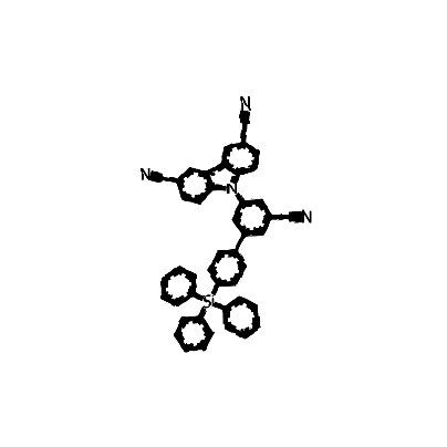 N#Cc1cc(-c2ccc([Si](c3ccccc3)(c3ccccc3)c3ccccc3)cc2)cc(-n2c3ccc(C#N)cc3c3cc(C#N)ccc32)c1